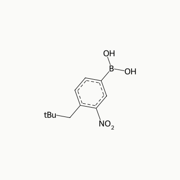 CC(C)(C)Cc1ccc(B(O)O)cc1[N+](=O)[O-]